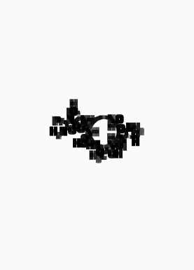 CC(C)C(NC(=O)[C@H](CO)NC(=O)C1CCCCNC(=O)CCC(N[C@@H](CO)C(N)=O)C(=O)N[C@@H]([C@@H](C)O)C(=O)N[C@@H](CO)C(=O)N1)C(N)=O